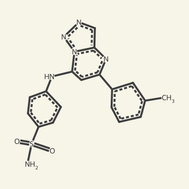 Cc1cccc(-c2cc(Nc3ccc(S(N)(=O)=O)cc3)n3nncc3n2)c1